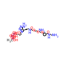 CP(=O)(O)OP(=O)(O)OP(=O)(O)OC[C@@H]1CC[C@H](n2cc(C#CCNC(=O)COCCOC(N)COc3cccc(C(=O)NCCN)c3)c3c(N)ncnc32)O1